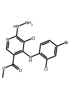 COC(=O)c1cnc(NN)c(Cl)c1Nc1ccc(Br)cc1Cl